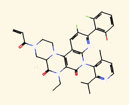 C=CC(=O)N1CCN2c3c(c(=O)n(-c4c(C)ccnc4C(C)C)c4nc(-c5c(O)cccc5F)c(F)cc34)N(CC)C(=O)[C@H]2C1